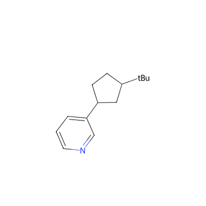 CC(C)(C)C1CCC(c2cccnc2)C1